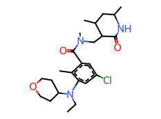 CCN(c1cc(Cl)cc(C(=O)N(C)CC2C(=O)NC(C)CC2C)c1C)C1CCOCC1